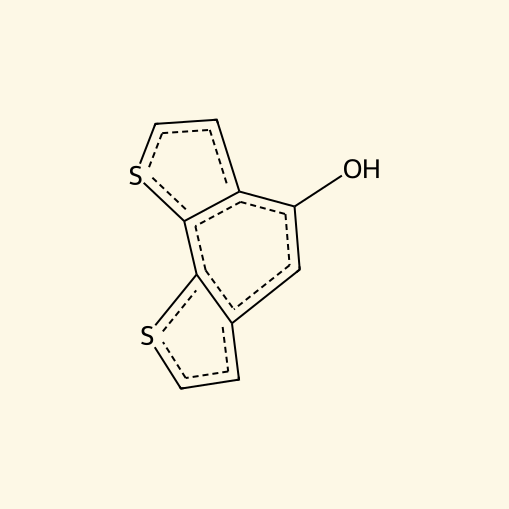 Oc1cc2ccsc2c2sccc12